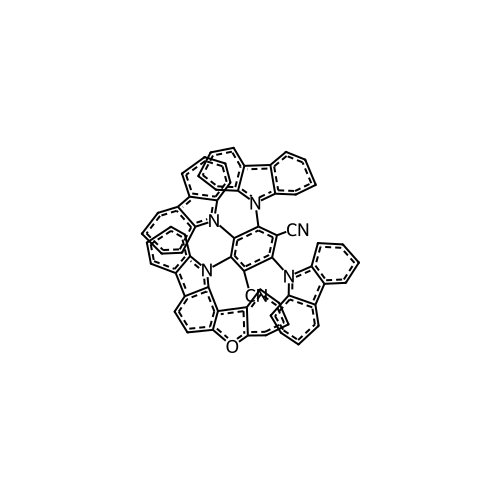 N#Cc1c(-n2c3ccccc3c3ccccc32)c(C#N)c(-n2c3ccccc3c3ccc4oc5ccccc5c4c32)c(-n2c3ccccc3c3ccccc32)c1-n1c2ccccc2c2ccccc21